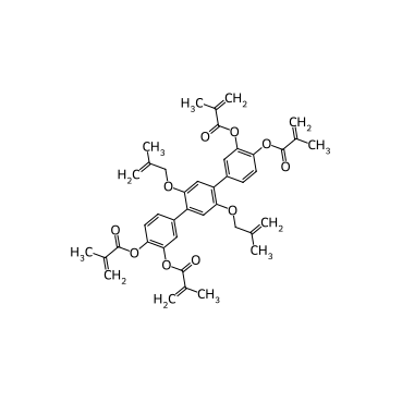 C=C(C)COc1cc(-c2ccc(OC(=O)C(=C)C)c(OC(=O)C(=C)C)c2)c(OCC(=C)C)cc1-c1ccc(OC(=O)C(=C)C)c(OC(=O)C(=C)C)c1